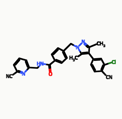 Cc1nn(Cc2ccc(C(=O)NCc3cccc(C#N)n3)cc2)c(C)c1-c1ccc(C#N)c(Cl)c1